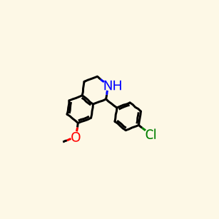 COc1ccc2c(c1)C(c1ccc(Cl)cc1)NCC2